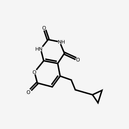 O=c1[nH]c(=O)c2c(CCC3CC3)cc(=O)oc2[nH]1